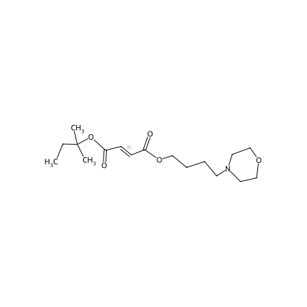 CCC(C)(C)OC(=O)/C=C/C(=O)OCCCCN1CCOCC1